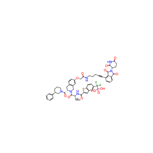 CC(C)(C)C(NC(=O)c1cc2cc(C(F)(F)P(=O)(O)O)ccc2s1)C(=O)N1Cc2cc(OCC(=O)NCCCC#Cc3cccc4c3C(=O)N(C3CCC(=O)NC3=O)C4=O)ccc2C[C@H]1C(=O)N1CCC[C@H](c2ccccc2)C1